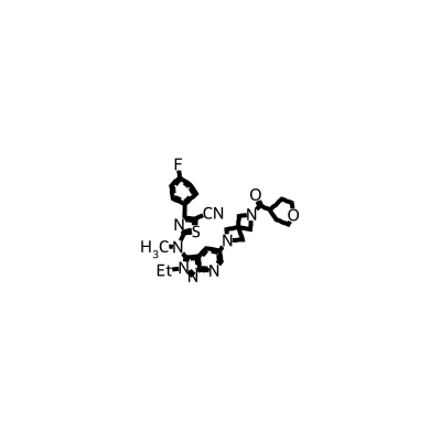 CCn1nc2ncc(N3CC4(CN(C(=O)C5CCOCC5)C4)C3)cc2c1N(C)c1nc(-c2ccc(F)cc2)c(C#N)s1